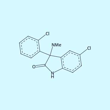 CNC1(c2ccccc2Cl)C(=O)Nc2ccc(Cl)cc21